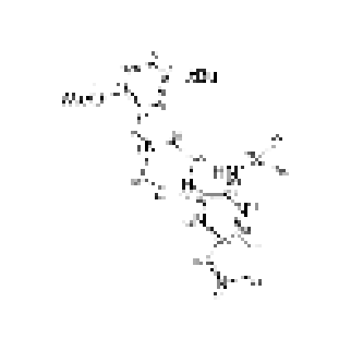 COc1ccc(C(C)(C)C)cc1CN1CCN(c2nc3cnccc3nc2NC2CC2)CC1